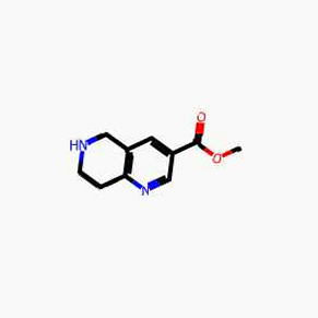 COC(=O)c1cnc2c(c1)CNCC2